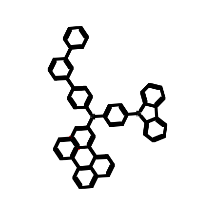 c1ccc(-c2cccc(-c3ccc(N(c4ccc(-n5c6ccccc6c6ccccc65)cc4)c4cccc(-c5cccc6cccc(-c7ccccc7)c56)c4)cc3)c2)cc1